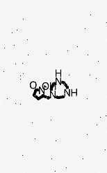 O=C1CCC(CN2CCNCCNCC2)N1O